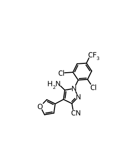 N#Cc1nn(-c2c(Cl)cc(C(F)(F)F)cc2Cl)c(N)c1-c1ccoc1